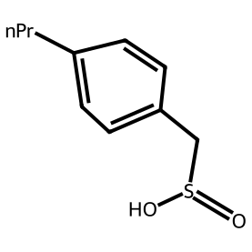 CCCc1ccc(CS(=O)O)cc1